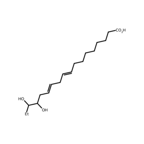 CCC(O)C(O)CC=CCC=CCCCCCCCC(=O)O